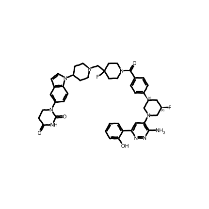 Nc1nnc(-c2ccccc2O)cc1N1C[C@H](F)C[C@H](c2ccc(C(=O)N3CCC(F)(CN4CCC(n5ccc6cc(N7CCC(=O)NC7=O)ccc65)CC4)CC3)cc2)C1